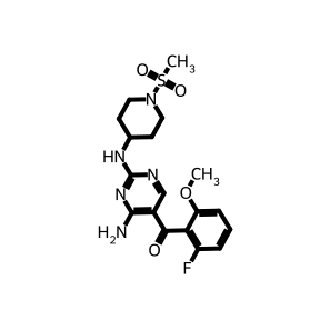 COc1cccc(F)c1C(=O)c1cnc(NC2CCN(S(C)(=O)=O)CC2)nc1N